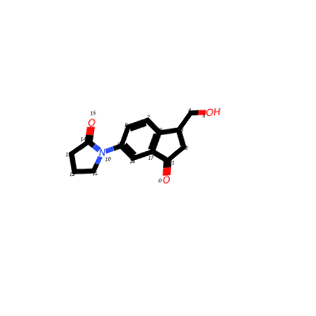 O=C1CC(CO)c2ccc(N3CCCC3=O)cc21